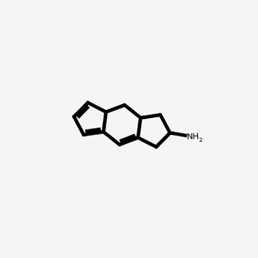 NC1CC2=CC3=CC=CC3CC2C1